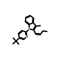 CC/C=C\c1c(C)c2ccccc2n1-c1ccc(C(C)(C)C)cn1